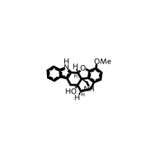 COc1ccc2c3c1O[C@H]1c4[nH]c5ccccc5c4C[C@@]4(O)[C@@H](C2)NCC[C@]314